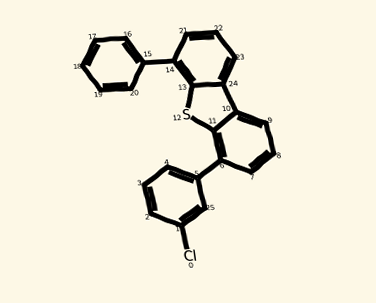 Clc1cccc(-c2cccc3c2sc2c(-c4ccccc4)cccc23)c1